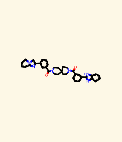 O=C(c1cccc(-c2cn3ccccc3n2)c1)N1CCC2(CC1)CCN(C(=O)c1cccc(-c3nc4ccccc4[nH]3)c1)CC2